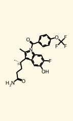 Cc1c([C@@H](C)CCC(N)=O)c2cc(O)c(F)cc2n1C(=O)c1ccc(OC(F)(F)F)cc1